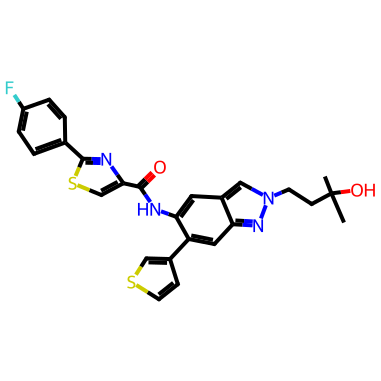 CC(C)(O)CCn1cc2cc(NC(=O)c3csc(-c4ccc(F)cc4)n3)c(-c3ccsc3)cc2n1